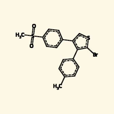 Cc1ccc(-c2c(-c3ccc(S(C)(=O)=O)cc3)csc2Br)cc1